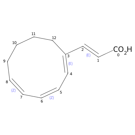 O=C(O)/C=C/C1=C/C=C\C=C/CCCC1